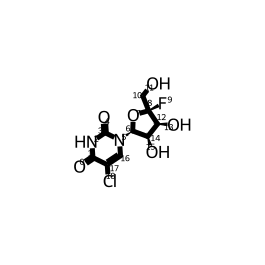 O=c1[nH]c(=O)n([C@@H]2O[C@](F)(CO)[C@@H](O)[C@H]2O)cc1Cl